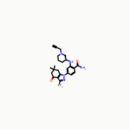 C#CCN1CCCC(Nc2cc(-n3nc(C(F)(F)F)c4c3CC(C)(C)CC4=O)ccc2C(N)=O)C1